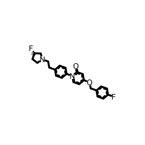 O=c1cc(OCc2ccc(F)cc2)ccn1-c1ccc(CCN2CC[C@@H](F)C2)cc1